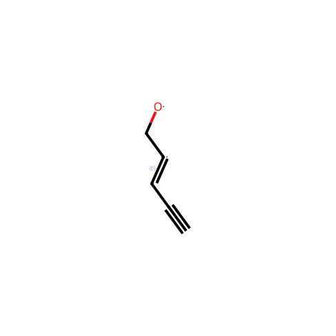 C#C/C=[C]/C[O]